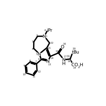 CC(C)N1CCCn2c(-c3ccccc3)nc(C(=O)N[C@H](C(=O)O)C(C)(C)C)c2C1